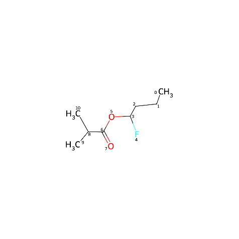 CCCC(F)OC(=O)C(C)C